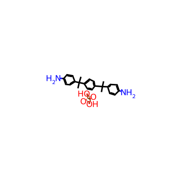 CC(C)(c1ccc(N)cc1)c1ccc(C(C)(C)c2ccc(N)cc2)cc1.O=S(=O)(O)O